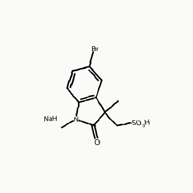 CN1C(=O)C(C)(CS(=O)(=O)O)c2cc(Br)ccc21.[NaH]